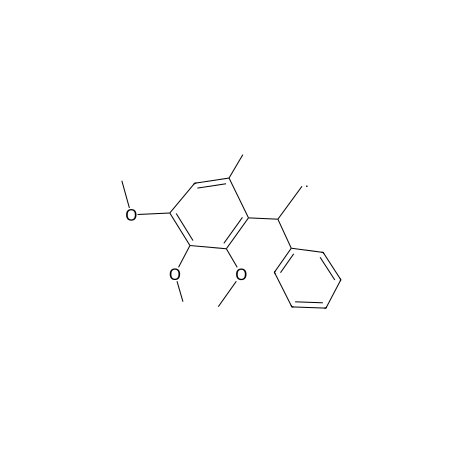 [CH2]C(c1ccccc1)c1c(C)cc(OC)c(OC)c1OC